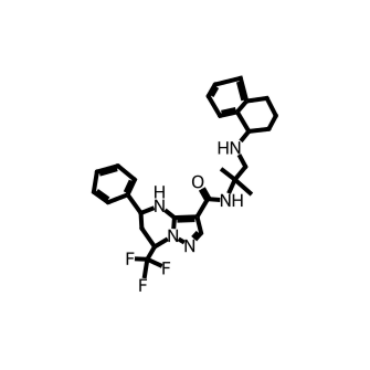 CC(C)(CNC1CCCc2ccccc21)NC(=O)c1cnn2c1NC(c1ccccc1)CC2C(F)(F)F